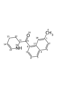 Cc1ccc2cccc(C(=O)C3CCC=CN3)c2c1